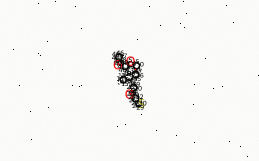 c1ccc2c(c1)oc1c2c(-c2c3ccccc3c(-c3ccc4c(c3)oc3cc5ccsc5cc34)c3ccccc23)cc2oc3ccccc3c21